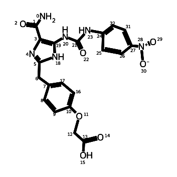 NC(=O)c1nc(Cc2ccc(OCC(=O)O)cc2)[nH]c1NC(=O)Nc1ccc([N+](=O)[O-])cc1